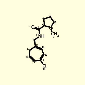 CN1CCCC1C(=O)NCC1=CC=C(Cl)C=CC1